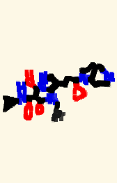 CC(C)Cn1c(=O)c(C(=O)NC2CC2)c(O)n2ncc(/C=C/C(=O)N3CCc4cnccc43)c12